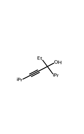 CCC(O)(C#CC(C)C)C(C)C